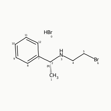 Br.C[C@@H](NCCBr)c1ccccc1